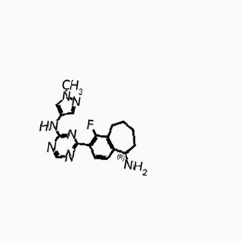 Cn1cc(Nc2ncnc(-c3ccc4c(c3F)CCCC[C@H]4N)n2)cn1